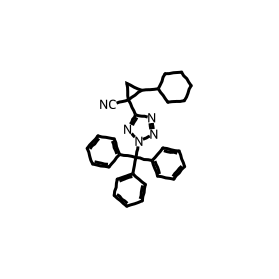 N#CC1(c2nnn(C(c3ccccc3)(c3ccccc3)c3ccccc3)n2)CC1C1CCCCC1